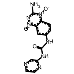 Nc1n[n+]([O-])c2cc(NC(=O)Nc3cnccn3)ccc2[n+]1[O-]